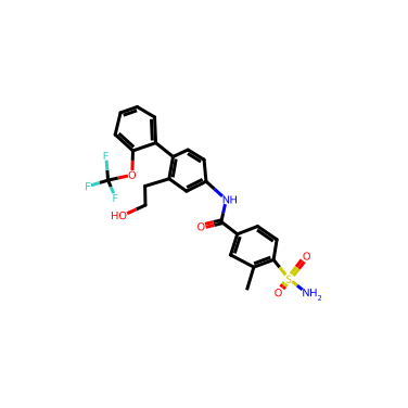 Cc1cc(C(=O)Nc2ccc(-c3ccccc3OC(F)(F)F)c(CCO)c2)ccc1S(N)(=O)=O